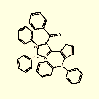 O=C(c1ccccc1)N1C(C2=C(P(c3ccccc3)c3ccccc3)C=CC2)=N[C@H](c2ccccc2)[C@H]1c1ccccc1